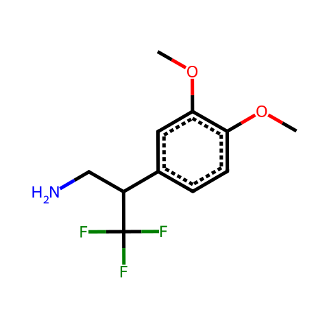 COc1ccc(C(CN)C(F)(F)F)cc1OC